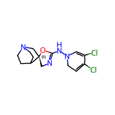 ClC1=CCN(NC2=NC[C@@]3(CN4CCC3CC4)O2)C=C1Cl